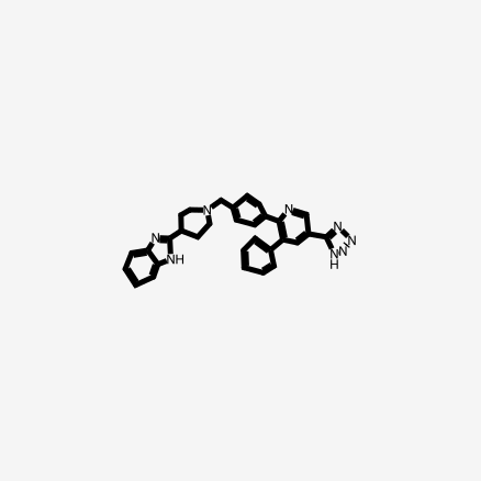 c1ccc(-c2cc(-c3nnn[nH]3)cnc2-c2ccc(CN3CCC(c4nc5ccccc5[nH]4)CC3)cc2)cc1